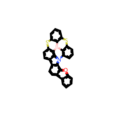 c1cc2c3c(c1)Sc1ccc4c5ccc6c7ccccc7oc6c5n5c4c1B3c1c(cccc1-5)S2